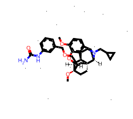 COc1ccc2c3c1O[C@H]1[C@@]4(OC)CC[C@@]5(C[C@@H]4COCc4cccc(NC(N)=O)c4)[C@@H](C2)N(CC2CC2)CC[C@]315